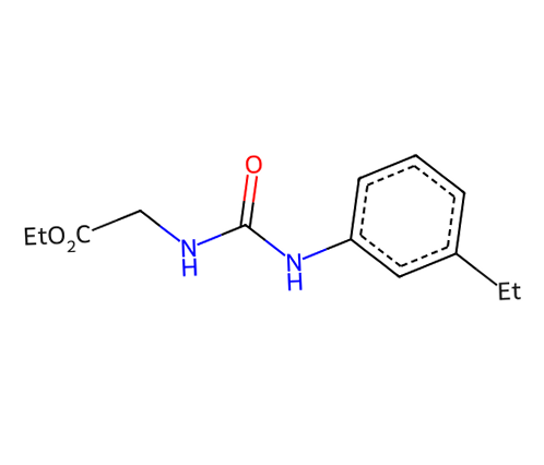 CCOC(=O)CNC(=O)Nc1cccc(CC)c1